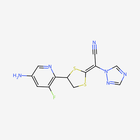 N#C/C(=C1/SCC(c2ncc(N)cc2F)S1)n1cncn1